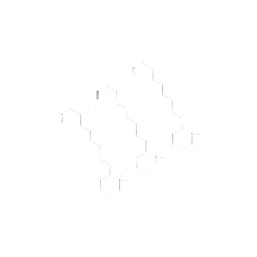 CC1=C(/C=C/C(C)=C/C=C/C(C)=C\C(=O)O)C(C)(C)CCC1.CC1=C(/C=C/C(C)=C/C=C/C(C)=C\C(=O)O)C(C)(C)CCC1.CC1=C(/C=C/C(C)=C/C=C/C(C)=C\C(=O)O)C(C)(C)CCC1